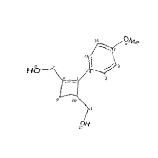 COc1ccc(C2=C(CO)CC2CO)cc1